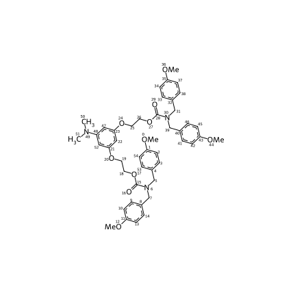 COc1ccc(CN(Cc2ccc(OC)cc2)C(=O)OCCOc2cc(OCCOC(=O)N(Cc3ccc(OC)cc3)Cc3ccc(OC)cc3)cc(N(C)C)c2)cc1